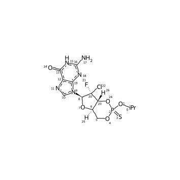 CC(C)OP1(=S)OC[C@H]2O[C@@H](n3cnc4c(=O)[nH]c(N)nc43)[C@@](F)(Cl)[C@@H]2O1